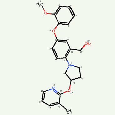 COc1ccccc1Oc1ccc(N2CCC(Oc3ncccc3C)C2)c(CO)c1